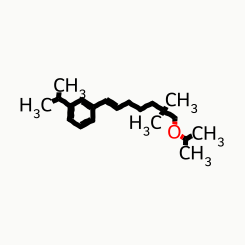 CC(C)OCC(C)(C)CCC/C=C/c1cccc(C(C)C)c1